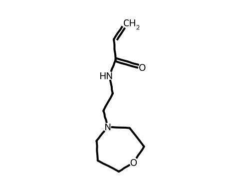 C=CC(=O)NCCN1CCCOCC1